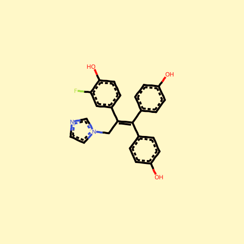 Oc1ccc(C(=C(Cn2ccnc2)c2ccc(O)c(F)c2)c2ccc(O)cc2)cc1